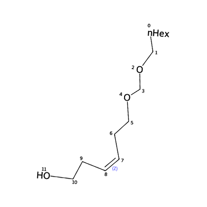 CCCCCCCOCOCC/C=C\CCO